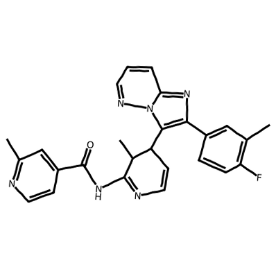 Cc1cc(C(=O)NC2=NC=CC(c3c(-c4ccc(F)c(C)c4)nc4cccnn34)C2C)ccn1